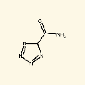 NC(=O)C1N=NN=N1